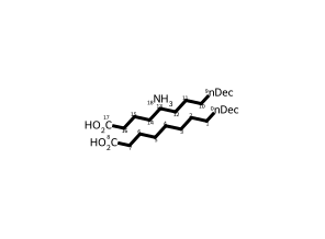 CCCCCCCCCCCCCCCCCC(=O)O.CCCCCCCCCCCCCCCCCC(=O)O.N